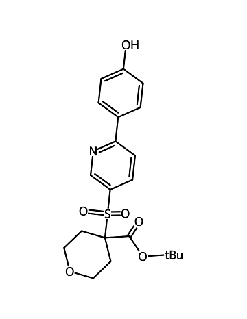 CC(C)(C)OC(=O)C1(S(=O)(=O)c2ccc(-c3ccc(O)cc3)nc2)CCOCC1